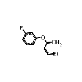 C=C(/C=C\CC)Oc1cccc(F)c1